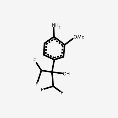 COc1cc(C(O)(C(F)F)C(F)F)ccc1N